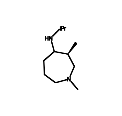 CC(C)NC1CCCN(C)C[C@@H]1C